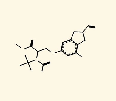 COC(=O)C(COc1cc(F)c2c(c1)CC(C=O)C2)N(C(=O)O)C(C)(C)C